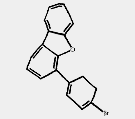 BrC1=CC=C(c2cccc3c2oc2ccccc23)CC1